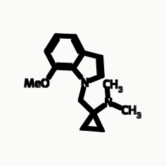 COc1cccc2ccn(CC3(N(C)C)CC3)c12